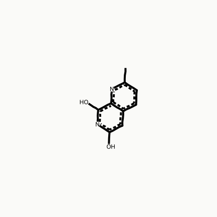 Cc1ccc2cc(O)nc(O)c2n1